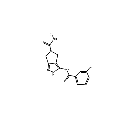 CCNC(=O)N1Cc2n[nH]c(NC(=O)c3cccc(Cl)c3)c2C1